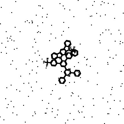 FC(F)(F)c1ccc(-c2cc(-c3cc(-c4ccccc4)nc(-c4ccccc4)n3)cc(-c3ccc(C(F)(F)F)cc3)c2-n2c3ccccc3c3cc4c5ccccc5n(-c5ccccc5)c4cc32)cc1